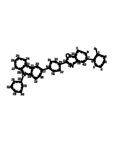 Cc1ccccc1-c1ccc2oc(-c3ccc(-c4ccc5c(c4)c4ccccc4n5-c4ccccc4)cc3)nc2c1